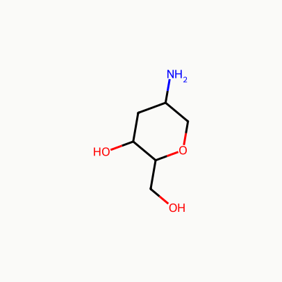 NC1COC(CO)C(O)C1